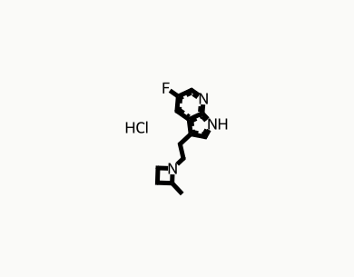 CC1CCN1CCc1c[nH]c2ncc(F)cc12.Cl